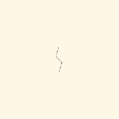 I[CH]CI